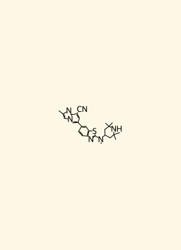 Cc1cn2cc(-c3ccc4nc(N(C)C5CC(C)(C)NC(C)(C)C5)sc4c3)cc(C#N)c2n1